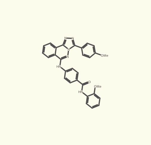 COc1ccc(-c2nnc3c4ccccc4c(Nc4ccc(C(=O)Nc5ccccc5OC)cc4)nn23)cc1